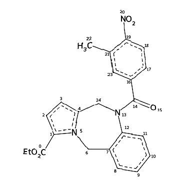 CCOC(=O)c1ccc2n1Cc1ccccc1N(C(=O)c1ccc([N+](=O)[O-])c(C)c1)C2